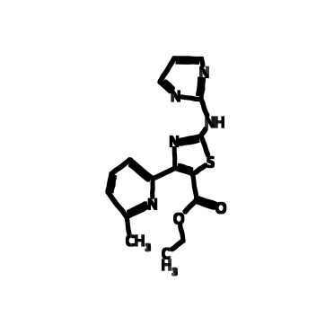 CCOC(=O)c1sc(Nc2ncccn2)nc1-c1cccc(C)n1